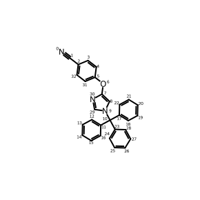 N#Cc1ccc(Oc2cn(C(c3ccccc3)(c3ccccc3)c3ccccc3)cn2)cc1